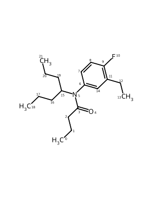 CCCC(=O)N(c1ccc(F)c(CC)c1)C(CCC)CCC